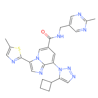 Cc1ncc(CNC(=O)c2cc(-n3nncc3C3CCC3)c3ncc(-c4ncc(C)s4)n3c2)cn1